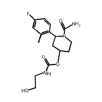 Cc1cc(F)ccc1C1CC(OC(=O)NCCO)CCN1C(N)=O